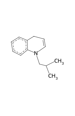 CC(C)CN1C=CCc2ccccc21